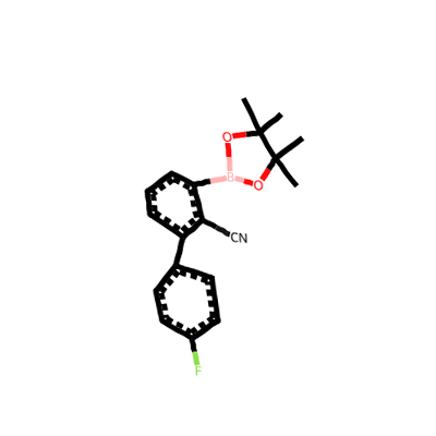 CC1(C)OB(c2cccc(-c3ccc(F)cc3)c2C#N)OC1(C)C